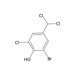 Oc1c(Cl)cc(C(Cl)Cl)cc1Br